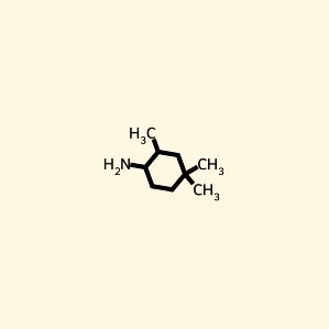 CC1CC(C)(C)CCC1N